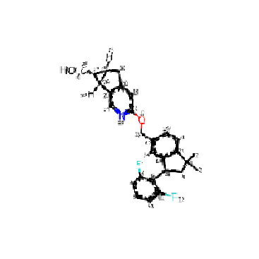 CC1(C)CC(c2c(F)cccc2F)c2cc(COc3cc4c(cn3)[C@H]3[C@@H](C4)[C@@H]3C(=O)O)ccc21